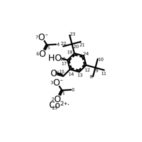 CC(=O)[O-].CC(=O)[O-].CC(C)(C)c1cc(C=O)c(O)c(C(C)(C)C)c1.[Co+2]